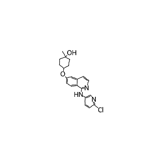 CC1(O)CCC(Oc2ccc3c(Nc4ccc(Cl)nc4)nccc3c2)CC1